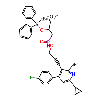 CC(C)c1nc(C2CC2)cc(-c2ccc(F)cc2)c1C#CCO[PH](=O)CC(CC(=O)O)O[Si](c1ccccc1)(c1ccccc1)C(C)(C)C